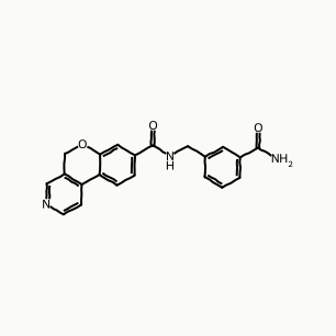 NC(=O)c1cccc(CNC(=O)c2ccc3c(c2)OCc2cnccc2-3)c1